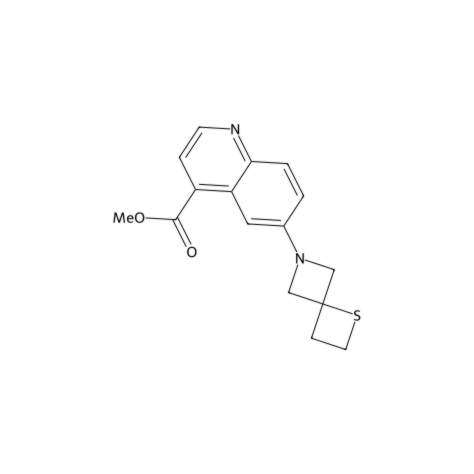 COC(=O)c1ccnc2ccc(N3CC4(CCS4)C3)cc12